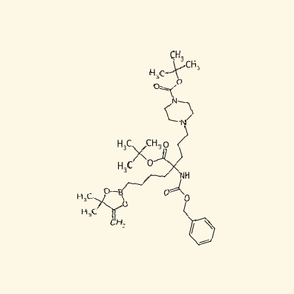 C=C1OB(CCCCC(CCCN2CCN(C(=O)OC(C)(C)C)CC2)(NC(=O)OCc2ccccc2)C(=O)OC(C)(C)C)OC1(C)C